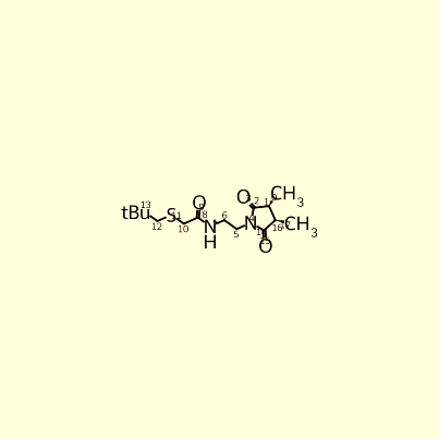 C[C@@H]1C(=O)N(CCNC(=O)CSCC(C)(C)C)C(=O)[C@@H]1C